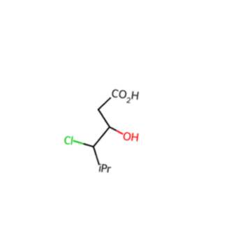 CC(C)C(Cl)C(O)CC(=O)O